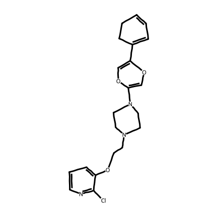 Clc1ncccc1OCCN1CCN(C2=COC(C3=CC=CCC3)=CO2)CC1